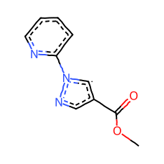 COC(=O)c1[c]n(-c2ccccn2)nc1